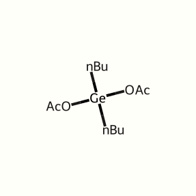 CCC[CH2][Ge]([CH2]CCC)([O]C(C)=O)[O]C(C)=O